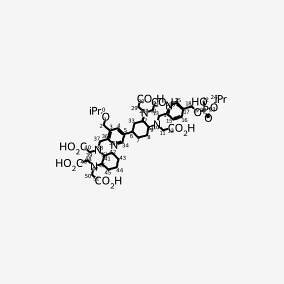 CC(C)OCc1cc(C2CC[C@H](N(CC(=O)O)Cc3ccc(COP(=O)(O)OC(C)C)cn3)C(N(CC(=O)O)CC(=O)O)C2)cnc1CN(CC(=O)O)[C@H]1CCCCC1N(CC(=O)O)CC(=O)O